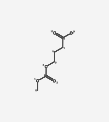 COC(=O)OCCCC([O])=O